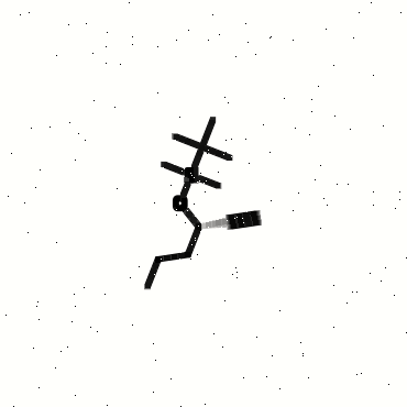 C#C[C@H](CCC)O[Si](C)(C)C(C)(C)C